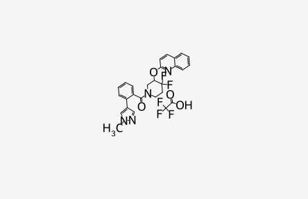 Cn1cc(-c2ccccc2C(=O)N2CCC(F)(F)C(Oc3ccc4ccccc4n3)C2)cn1.O=C(O)C(F)(F)F